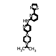 CC(C)N1CCN(c2ccc(Nc3cccc(-c4nccs4)n3)nc2)CC1